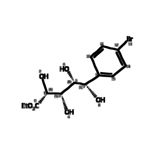 CCOC(=O)[C@H](O)[C@@H](O)[C@H](O)[C@@H](O)c1ccc(Br)cc1